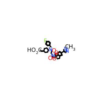 Cn1cc(-c2ccc3c(c2)CC[C@]32OC(=O)N(CC(=O)N(Cc3ccc(F)cc3)C3CCC(=CC(=O)O)CC3)C2=O)cn1